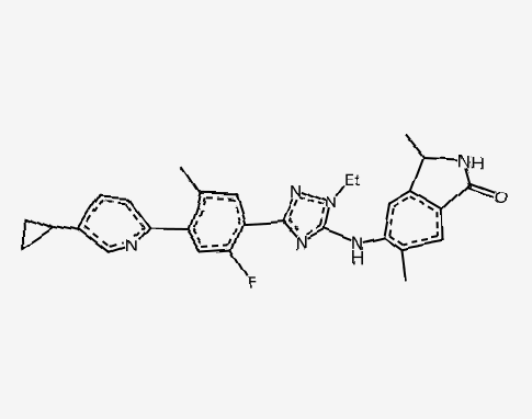 CCn1nc(-c2cc(C)c(-c3ccc(C4CC4)cn3)cc2F)nc1Nc1cc2c(cc1C)C(=O)NC2C